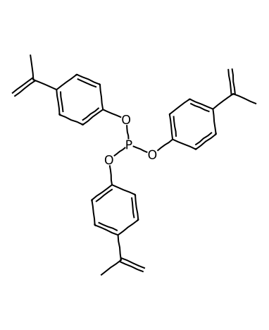 C=C(C)c1ccc(OP(Oc2ccc(C(=C)C)cc2)Oc2ccc(C(=C)C)cc2)cc1